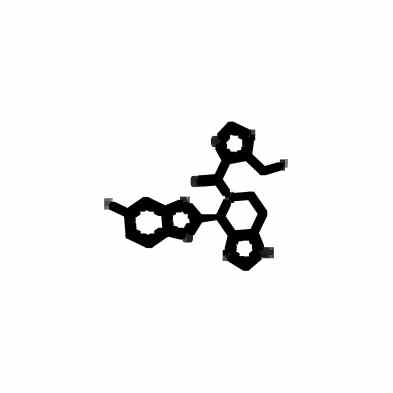 O=C(c1ocnc1CF)N1CCc2[nH]cnc2[C@H]1c1nc2cc(F)ccc2o1